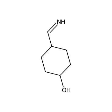 N=CC1CCC(O)CC1